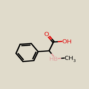 CBC(C(=O)O)c1ccccc1